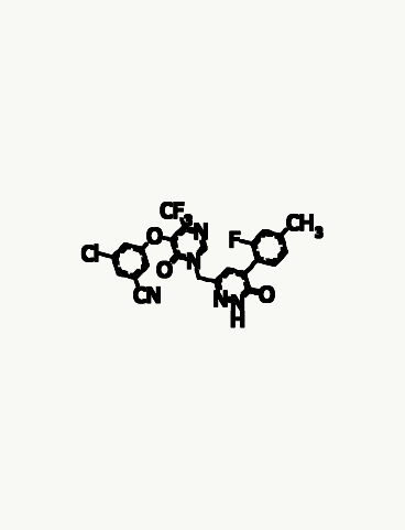 Cc1ccc(-c2cc(Cn3cnc(C(F)(F)F)c(Oc4cc(Cl)cc(C#N)c4)c3=O)n[nH]c2=O)c(F)c1